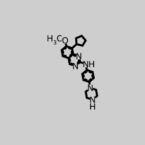 COc1ccc2cnc(Nc3ccc(N4CCNCC4)cc3)nc2c1C1CCCC1